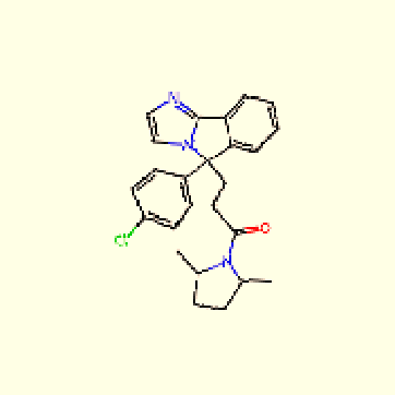 CC1CCC(C)N1C(=O)CCC1(c2ccc(Cl)cc2)c2ccccc2-c2nccn21